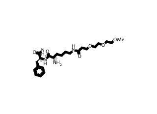 COCCOCCOCCC(=O)NCCCC[C@H](N)C(=O)N[C@@H](Cc1ccccc1)C(N)=O